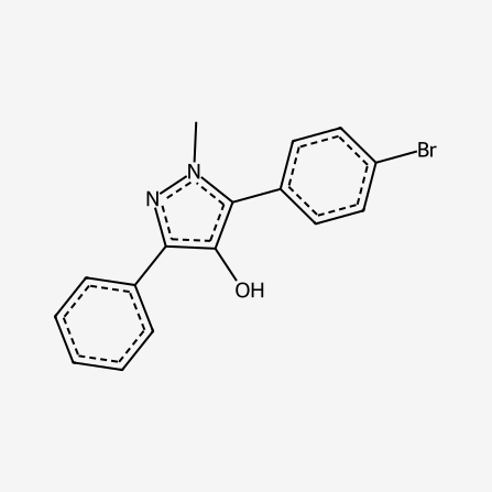 Cn1nc(-c2ccccc2)c(O)c1-c1ccc(Br)cc1